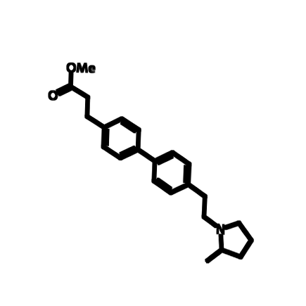 COC(=O)CCc1ccc(-c2ccc(CCN3CCCC3C)cc2)cc1